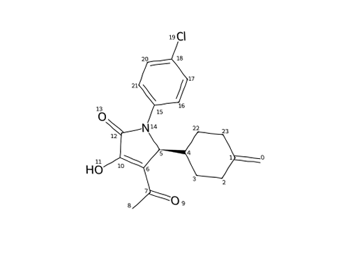 C=C1CCC([C@H]2C(C(C)=O)=C(O)C(=O)N2c2ccc(Cl)cc2)CC1